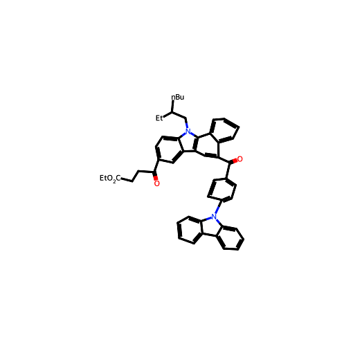 CCCCC(CC)Cn1c2ccc(C(=O)CCC(=O)OCC)cc2c2cc(C(=O)c3ccc(-n4c5ccccc5c5ccccc54)cc3)c3ccccc3c21